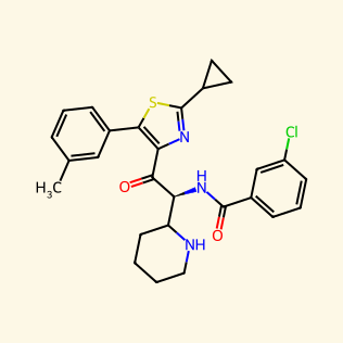 Cc1cccc(-c2sc(C3CC3)nc2C(=O)[C@@H](NC(=O)c2cccc(Cl)c2)C2CCCCN2)c1